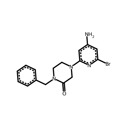 Nc1cc(Br)nc(N2CCN(Cc3ccccc3)C(=O)C2)c1